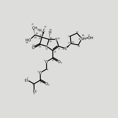 CCC(CC)C(=O)OCOC(=O)C1=C(S[C@H]2CC[Si@@H](O)C2)S[C@H]2N1C(=O)[C@]2(C)[C@@H](C)O